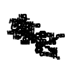 CN[C@@H](CC(=O)N[C@H](CS)C(=O)N[C@H](C(=O)N[C@H](C(=O)N[C@H](C(=O)N[C@H](C=O)CCCNC(=N)N)[C@@H](C)O)[C@@H](C)O)[C@@H](C)O)C(=O)N[C@@H](Cc1ccc(O)cc1)C(=O)NC(Cc1ccc(O)cc1)C(=O)N[C@@H](CCCNC(=N)N)C(=O)NCC(=O)NCC=O